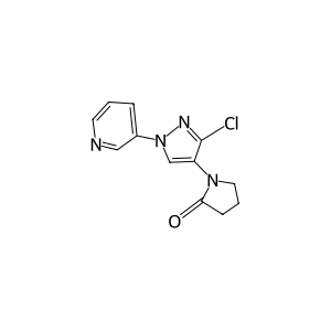 O=C1CCCN1c1cn(-c2cccnc2)nc1Cl